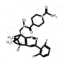 CCN(C[C@@]12CC[C@@H](c3cc(-c4c(F)cccc4F)nnc31)C2(C)C)C(=O)C1CCN(C(N)=O)CC1